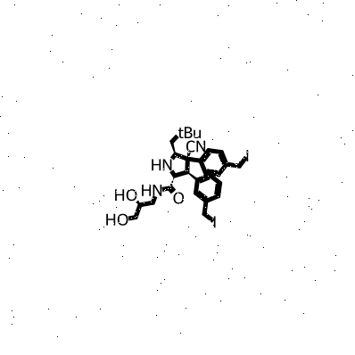 CC(C)(C)C[C@@H]1N[C@@H](C(=O)NC[C@H](O)CO)[C@H](c2cccc(CI)c2)[C@@]1(C#N)c1ccc(CI)cc1